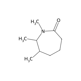 CC1CCCC(=O)N(C)C1C